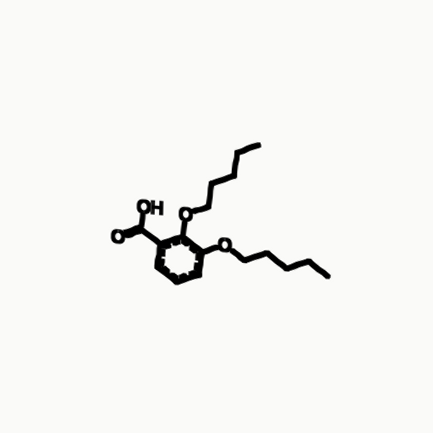 CCCCCOc1cccc(C(=O)O)c1OCCCCC